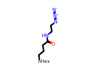 CCCCCCCCCC(=O)NCCN=[N+]=[N-]